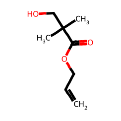 C=CCOC(=O)C(C)(C)CO